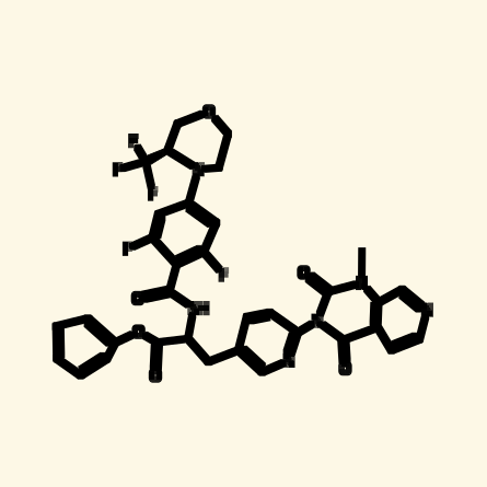 Cn1c(=O)n(-c2ccc(CC(NC(=O)c3c(F)cc(N4CCOC[C@@H]4C(F)(F)F)cc3F)C(=O)Oc3ccccc3)cn2)c(=O)c2ccncc21